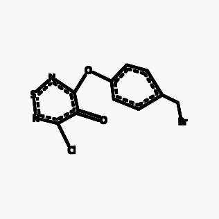 O=c1c(Cl)nsnc1Oc1ccc(CBr)cc1